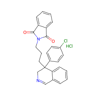 Cl.O=C1c2ccccc2C(=O)N1CCCC1(c2ccc(Cl)cc2)CN=Cc2ccccc21